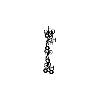 O=C1COc2c(C(O)CNCc3ccc4c(c3)CCN(CCN3CCC(OC(=O)Nc5ccccc5-c5ccccc5)CC3)C4=O)ccc(O)c2N1